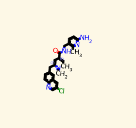 C=N/C(=C\C(=C/C)C(=O)NCc1ccc(N)nc1C)Cc1ccc2ncc(Cl)cc2c1